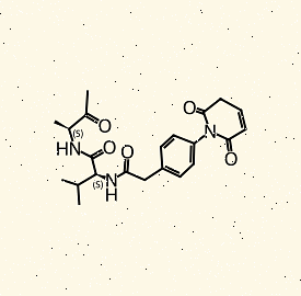 CC(=O)[C@H](C)NC(=O)[C@@H](NC(=O)Cc1ccc(N2C(=O)C=CCC2=O)cc1)C(C)C